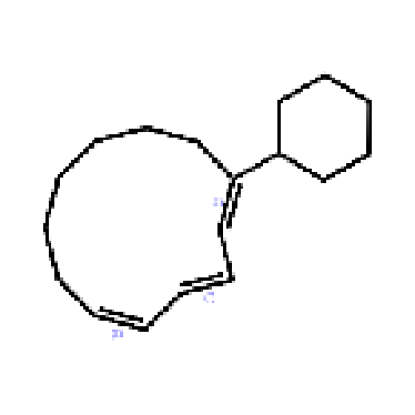 C1=C\CCCCCC/C(C2CCCCC2)=C/C=C/1